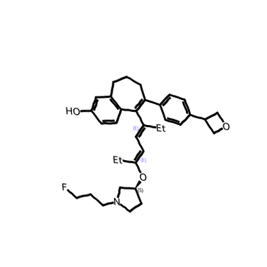 CC/C(=C\C=C(/CC)C1=C(c2ccc(C3COC3)cc2)CCCc2cc(O)ccc21)O[C@H]1CCN(CCCF)C1